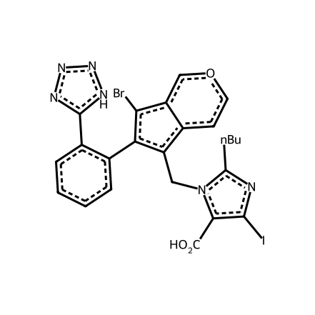 CCCCc1nc(I)c(C(=O)O)n1Cc1c2ccocc-2c(Br)c1-c1ccccc1-c1nnn[nH]1